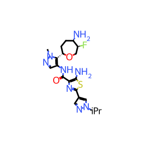 CC(C)n1cc(-c2nc(C(=O)Nc3cnn(C)c3[C@@H]3CC[C@@H](N)[C@@H](F)CO3)c(N)s2)cn1